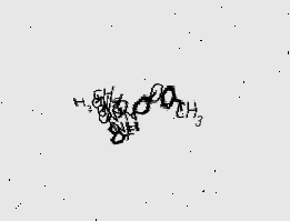 CCc1ccc(Oc2ccc(NC(=O)CN(CC(=O)NC(C)C)C(=O)c3cc4cccc(F)c4[nH]3)cc2)cc1